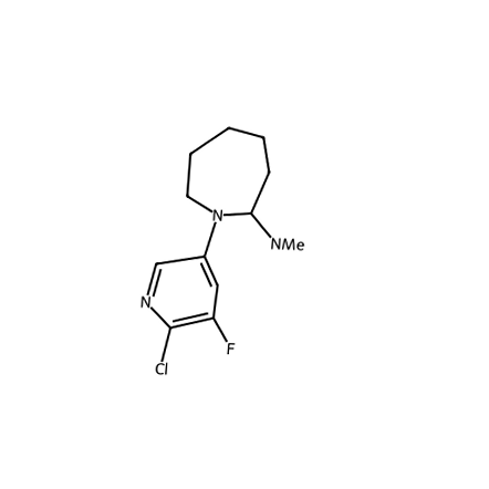 CNC1CCCCCN1c1cnc(Cl)c(F)c1